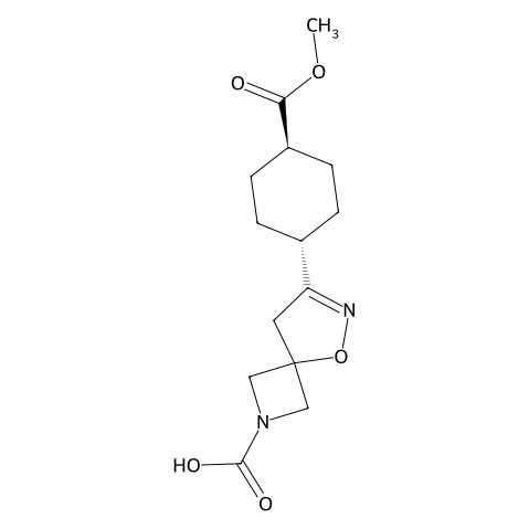 COC(=O)[C@H]1CC[C@H](C2=NOC3(C2)CN(C(=O)O)C3)CC1